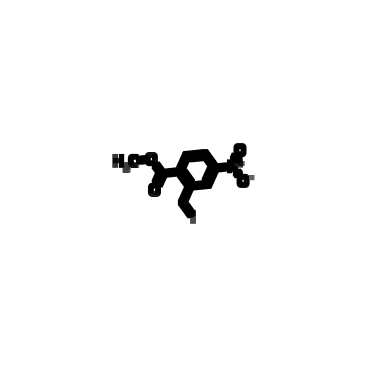 COC(=O)c1ccc([N+](=O)[O-])cc1CI